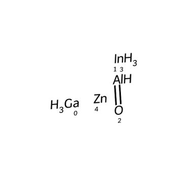 [GaH3].[InH3].[O]=[AlH].[Zn]